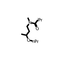 CCCOC(C)CCN(C)C(=O)C(C)C